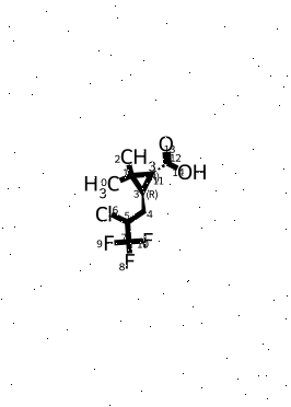 CC1(C)[C@H](CC(Cl)C(F)(F)F)[C@H]1C(=O)O